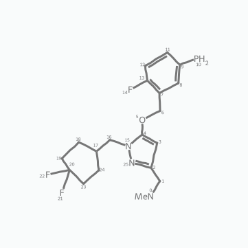 CNCc1cc(OCc2cc(P)ccc2F)n(CC2CCC(F)(F)CC2)n1